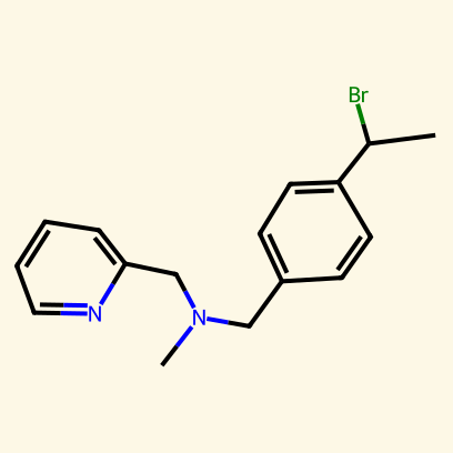 CC(Br)c1ccc(CN(C)Cc2ccccn2)cc1